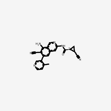 Cc1ccncc1-c1cc2cc(NC(=O)[C@H]3CC3C#N)ncc2c(N)c1C#N